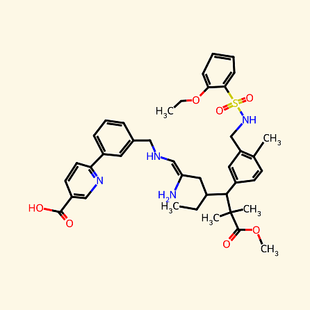 CCOc1ccccc1S(=O)(=O)NCc1cc(C(C(CC)C/C(N)=C/NCc2cccc(-c3ccc(C(=O)O)cn3)c2)C(C)(C)C(=O)OC)ccc1C